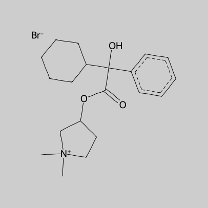 C[N+]1(C)CCC(OC(=O)C(O)(c2ccccc2)C2CCCCC2)C1.[Br-]